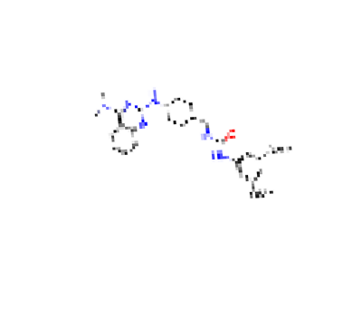 COc1cc(NC(=O)NCC2CCC(Nc3nc(N(C)C)c4ccccc4n3)CC2)cc(OC)c1